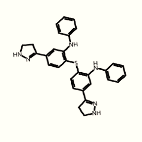 c1ccc(Nc2cc(C3=NNCC3)ccc2Sc2ccc(C3=NNCC3)cc2Nc2ccccc2)cc1